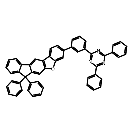 c1ccc(-c2nc(-c3ccccc3)nc(-c3cccc(-c4ccc5c(c4)oc4cc6c(cc45)-c4ccccc4C6(c4ccccc4)c4ccccc4)c3)n2)cc1